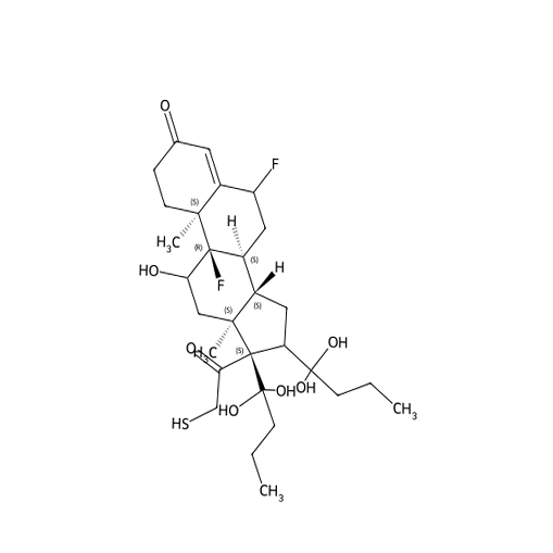 CCCC(O)(O)C1C[C@H]2[C@@H]3CC(F)C4=CC(=O)CC[C@]4(C)[C@@]3(F)C(O)C[C@]2(C)[C@]1(C(=O)CS)C(O)(O)CCC